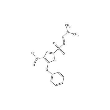 CN(C)C=NS(=O)(=O)c1cc([N+](=O)[O-])c(Oc2ccccc2)s1